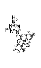 Nc1nc(F)nc2c1ncn2CCc1oc2cccc(F)c2c(=O)c1-c1ccc(F)cc1